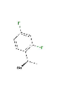 CCC(C)[C@H](C)c1ccc(F)cc1F